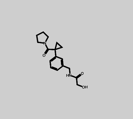 O=C(CO)NCc1cccc(C2(C(=O)N3CCCC3)CC2)c1